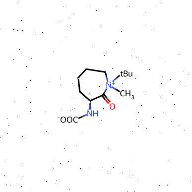 CC(C)(C)[N+]1(C)CCCC[C@H](NC(=O)[O-])C1=O